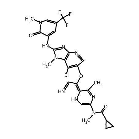 CC1=NC(N(C)C(=O)C2CC2)=CN/C1=C(\C=N)Oc1cnc2nc(Nc3cc(C(F)(F)F)cn(C)c3=O)n(C)c2c1Cl